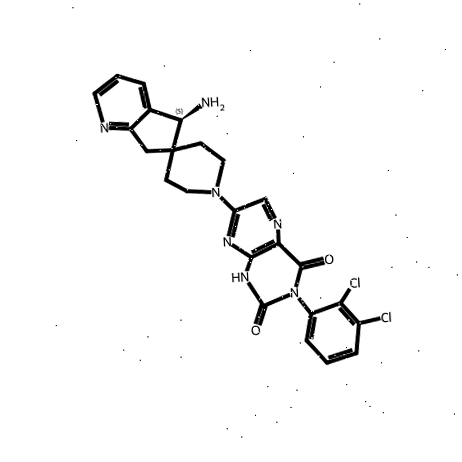 N[C@@H]1c2cccnc2CC12CCN(c1cnc3c(=O)n(-c4cccc(Cl)c4Cl)c(=O)[nH]c3n1)CC2